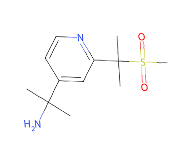 CC(C)(N)c1ccnc(C(C)(C)S(C)(=O)=O)c1